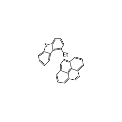 CCc1cccc2sc3ccccc3c12.c1cc2ccc3cccc4ccc(c1)c2c34